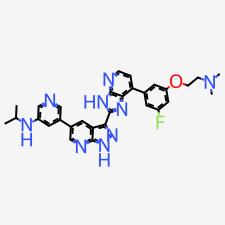 CC(C)Nc1cncc(-c2cnc3[nH]nc(-c4nc5c(-c6cc(F)cc(OCCN(C)C)c6)ccnc5[nH]4)c3c2)c1